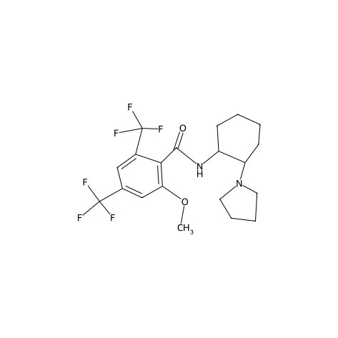 COc1cc(C(F)(F)F)cc(C(F)(F)F)c1C(=O)NC1CCCCC1N1CCCC1